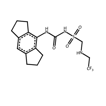 O=C(Nc1c2c(cc3c1CCC3)CCC2)NS(=O)(=O)CNCC(F)(F)F